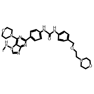 O=C(Nc1ccc(COCCN2CCOCC2)cc1)Nc1ccc(-c2nc(N3CCOCC3)c3c(ncn3PI)n2)cc1